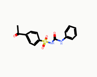 CC(=O)c1ccc(S(=O)(=O)NC(=O)Nc2ccccc2)cc1